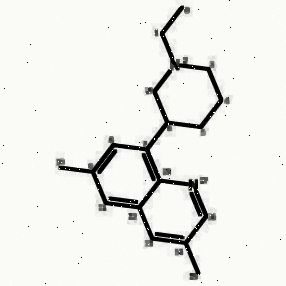 CCN1CCCC(c2cc(C)cc3cc(C)cnc23)C1